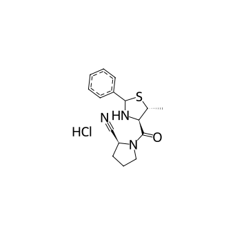 C[C@H]1SC(c2ccccc2)N[C@@H]1C(=O)N1CCC[C@H]1C#N.Cl